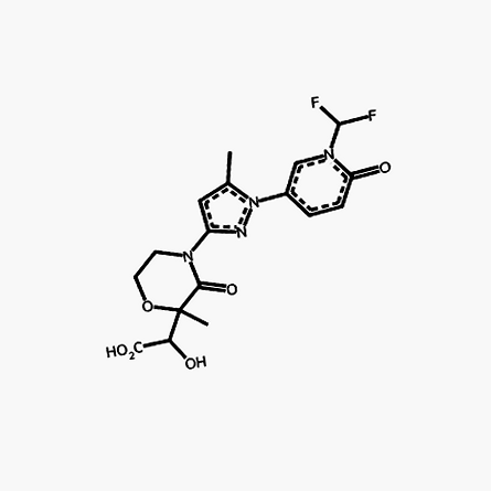 Cc1cc(N2CCOC(C)(C(O)C(=O)O)C2=O)nn1-c1ccc(=O)n(C(F)F)c1